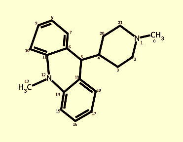 CN1CCC(C2c3ccccc3N(C)c3ccccc32)CC1